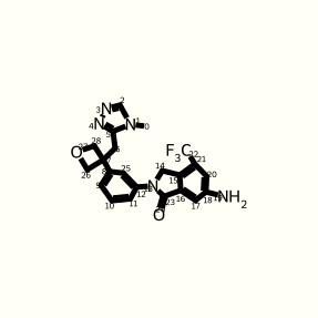 Cn1cnnc1CC1(c2cccc(N3Cc4c(cc(N)cc4C(F)(F)F)C3=O)c2)COC1